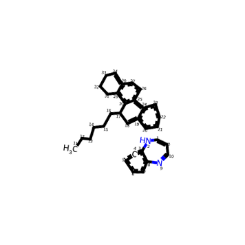 C1=CNc2ccccc2N=C1.CCCCCCC1C=c2ccccc2=c2ccc3c(c21)CCCC=3